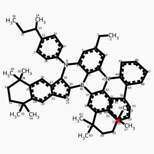 CCc1cc2c3c(c1)N(c1ccc(C(C)CC)cc1)c1c(sc4cc5c(cc14)C(C)(C)CCC5(C)C)B3c1cc3c(cc1N2c1ccccc1-c1ccccc1)C(C)(C)CCC3(C)C